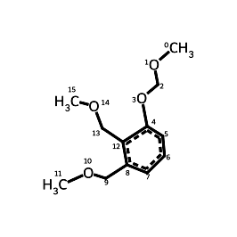 COCOc1cccc(COC)c1COC